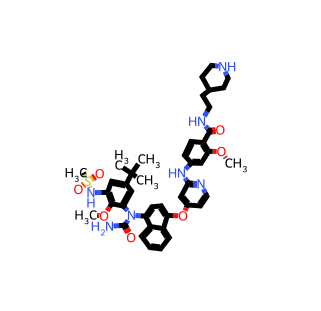 COc1cc(Nc2cc(Oc3ccc(N(C(N)=O)c4cc(C(C)(C)C)cc(NS(C)(=O)=O)c4OC)c4ccccc34)ccn2)ccc1C(=O)NCCC1CCNCC1